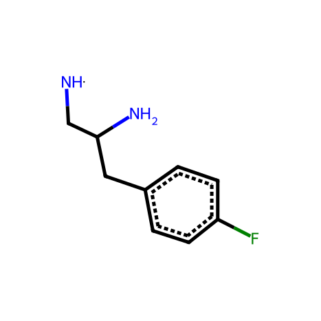 [NH]CC(N)Cc1ccc(F)cc1